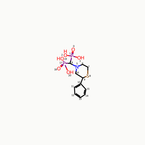 O=P(O)(O)C(N1CCSC(c2ccccc2)C1)P(=O)(O)O